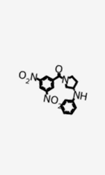 O=C(c1cc([N+](=O)[O-])cc([N+](=O)[O-])c1)N1CC[C@@H](Nc2ccccc2)C1